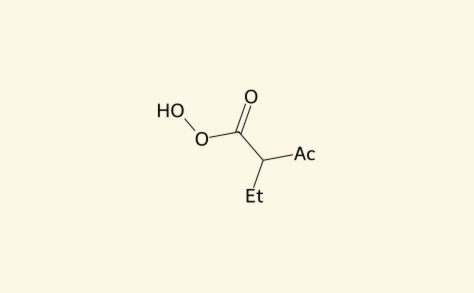 CCC(C(C)=O)C(=O)OO